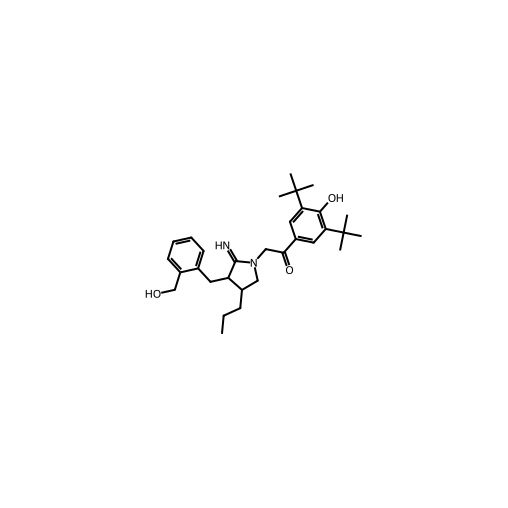 CCCC1CN(CC(=O)c2cc(C(C)(C)C)c(O)c(C(C)(C)C)c2)C(=N)C1Cc1ccccc1CO